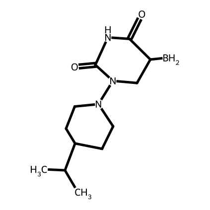 BC1CN(N2CCC(C(C)C)CC2)C(=O)NC1=O